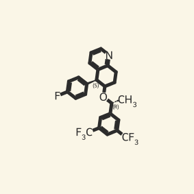 C[C@@H](OC1CCc2ncccc2[C@@H]1c1ccc(F)cc1)c1cc(C(F)(F)F)cc(C(F)(F)F)c1